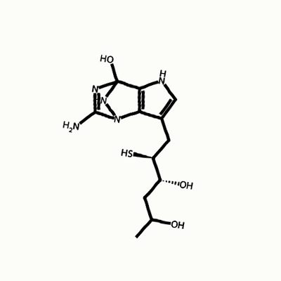 CC(O)C[C@@H](O)[C@@H](S)Cc1c[nH]c2c1N1NC2(O)N=C1N